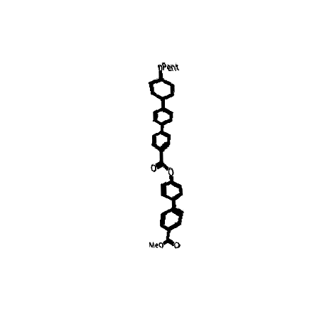 CCCCCC1CCC(c2ccc(-c3ccc(C(=O)Oc4ccc(-c5ccc(C(=O)OC)cc5)cc4)cc3)cc2)CC1